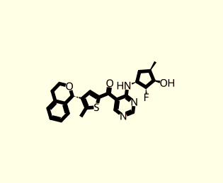 Cc1sc(C(=O)c2cncnc2N[C@@H]2C[C@@H](C)[C@@H](O)[C@@H]2F)cc1[C@H]1OCCc2ccccc21